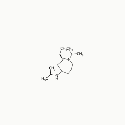 CC[C@@H]1CC(NC(C)C)CCCN1C(C)C